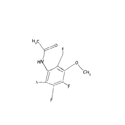 COc1c(F)c(F)c(I)c(NC(C)=O)c1F